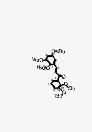 COc1cc(OC(C)(C)C)cc(C=CC(=O)c2cccc(OC(C)(C)C)c2OC(C)(C)C)c1OC(C)(C)C